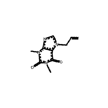 C=C[CH]n1cnc2c1c(=O)n(C)c(=O)n2C